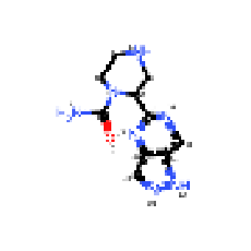 NC(=O)N1CCNCC1c1ncc2[nH]ncc2n1